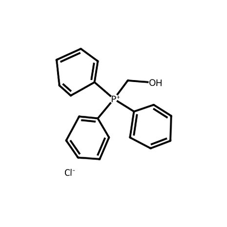 OC[P+](c1ccccc1)(c1ccccc1)c1ccccc1.[Cl-]